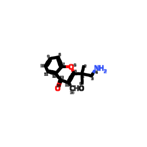 CC(C)(CN)c1oc2ccccc2c(=O)c1C=O